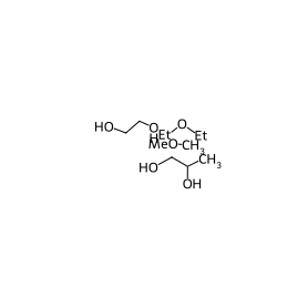 CC(O)CO.CCOCC.COC.OCCO